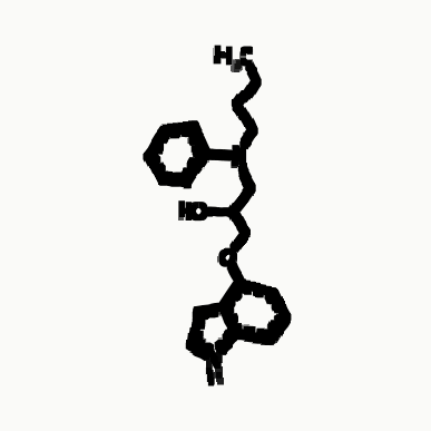 CCCCN(CC(O)COc1cccc2[nH]ccc12)c1ccccc1